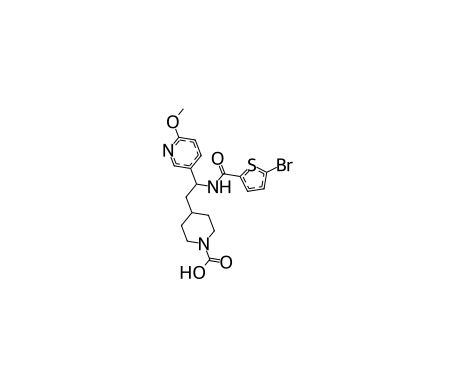 COc1ccc(C(CC2CCN(C(=O)O)CC2)NC(=O)c2ccc(Br)s2)cn1